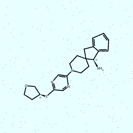 N[C@@H]1c2ccccc2CC12CCN(c1cnc(S[C@H]3CCOC3)cn1)CC2